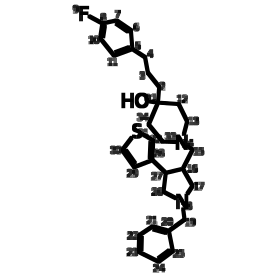 OC1(CCCc2ccc(F)cc2)CCN(CC2CN(Cc3ccccc3)CC2c2ccsc2)CC1